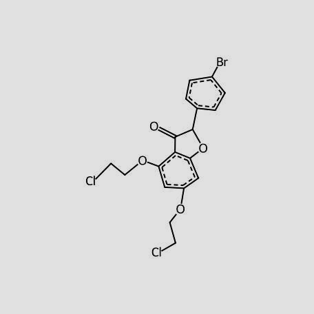 O=C1c2c(OCCCl)cc(OCCCl)cc2OC1c1ccc(Br)cc1